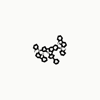 Fc1ccccc1N(c1ccc2cc3c4ccc(N(c5ccccc5F)c5cccc6c5oc5ccccc56)cc4n4c5ccc(-c6ccccc6)cc5c(c2c1)c34)c1cccc2c1oc1ccccc12